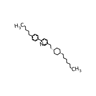 CCCCCCC[C@H]1CC[C@H](CCc2ccc(-c3ccc(CCCCC)cc3)nc2)CC1